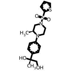 C[C@H]1CN(S(=O)(=O)c2cccs2)CCN1c1ccc([C@@](C)(O)CO)cc1